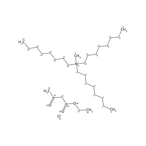 CCCCCCCC[N+](C)(CCCCCCCC)CCCCCCCC.CCOC(=O)CC(C)=O.[Cl-]